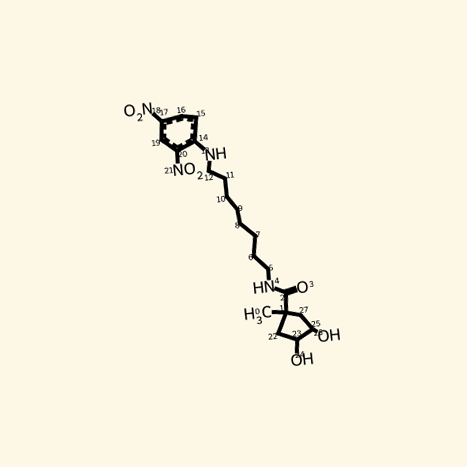 CC1(C(=O)NCCCCCCCCNc2ccc([N+](=O)[O-])cc2[N+](=O)[O-])CC(O)C(O)C1